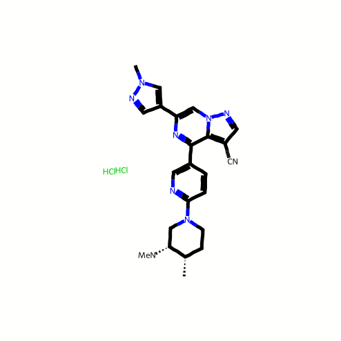 CN[C@@H]1CN(c2ccc(-c3nc(-c4cnn(C)c4)cn4ncc(C#N)c34)cn2)CC[C@@H]1C.Cl.Cl